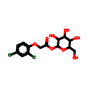 O=C(COc1ccc(Cl)cc1Cl)OC1OC(CO)C(O)C(O)C1O